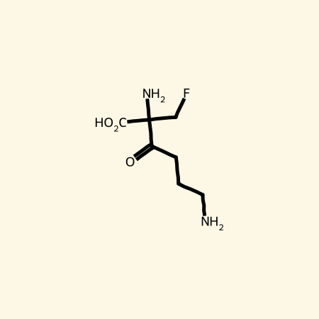 NCCCC(=O)C(N)(CF)C(=O)O